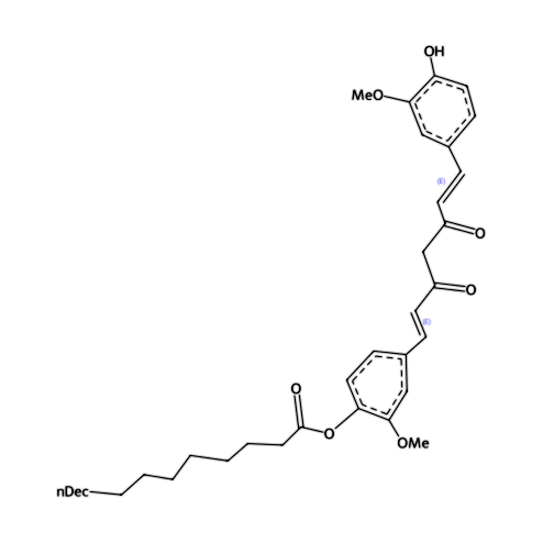 CCCCCCCCCCCCCCCCCC(=O)Oc1ccc(/C=C/C(=O)CC(=O)/C=C/c2ccc(O)c(OC)c2)cc1OC